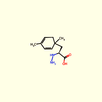 CC1=CCC(C)(C[C@H](NN)C(=O)O)C=C1